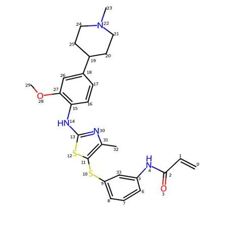 C=CC(=O)Nc1cccc(Sc2sc(Nc3ccc(C4CCN(C)CC4)cc3OC)nc2C)c1